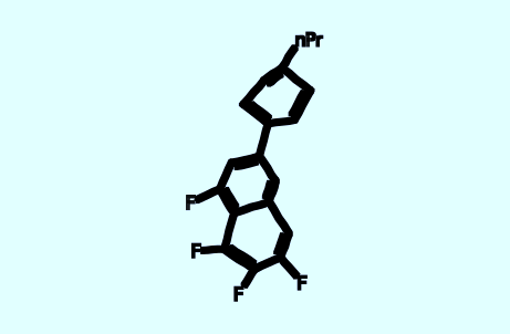 CCCc1ccc(-c2cc(F)c3c(F)c(F)c(F)cc3c2)cc1